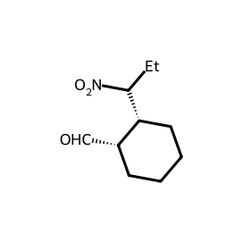 CCC([C@@H]1CCCC[C@@H]1C=O)[N+](=O)[O-]